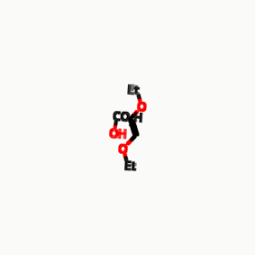 CCOC=COCC.O=C(O)O